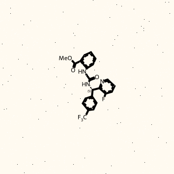 COC(=O)c1ccccc1NC(=O)N[C@@H](c1ccc(C(F)(F)F)cc1)c1ncccc1F